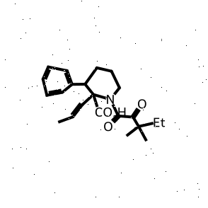 C/C=C/C1(C(=O)O)C(c2ccccc2)CCCN1C(=O)C(=O)C(C)(C)CC